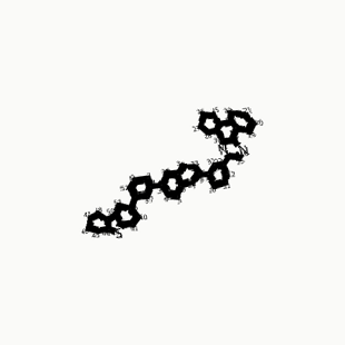 c1cc(-c2ccc3cc(-c4cccc(-c5cnc6c7ccccc7c7ccccc7c6n5)c4)ccc3c2)cc(-c2ccc3sc4ccccc4c3c2)c1